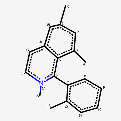 Cc1cc(C)c2c(-c3ccccc3C)[n+](C)ccc2c1